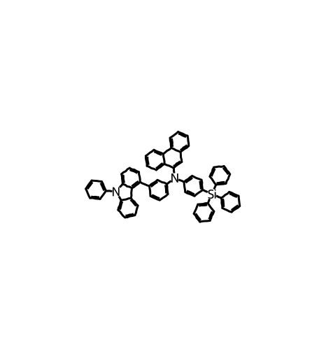 c1ccc(-n2c3ccccc3c3c(-c4cccc(N(c5ccc([Si](c6ccccc6)(c6ccccc6)c6ccccc6)cc5)c5cc6ccccc6c6ccccc56)c4)cccc32)cc1